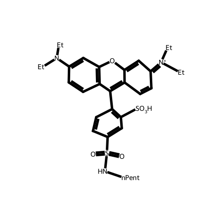 CCCCCNS(=O)(=O)c1ccc(-c2c3ccc(=[N+](CC)CC)cc-3oc3cc(N(CC)CC)ccc23)c(S(=O)(=O)O)c1